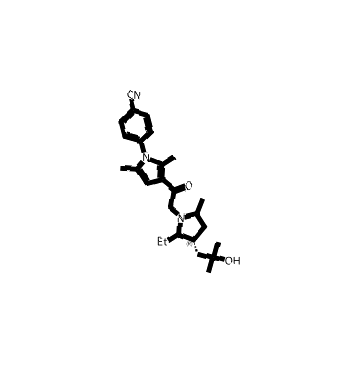 CCC1[C@@H](CC(C)(C)O)CC(C)N1CC(=O)c1cc(C)n(-c2ccc(C#N)cc2)c1C